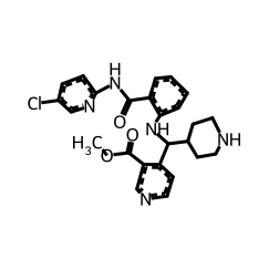 COC(=O)c1cnccc1C(Nc1ccccc1C(=O)Nc1ccc(Cl)cn1)C1CCNCC1